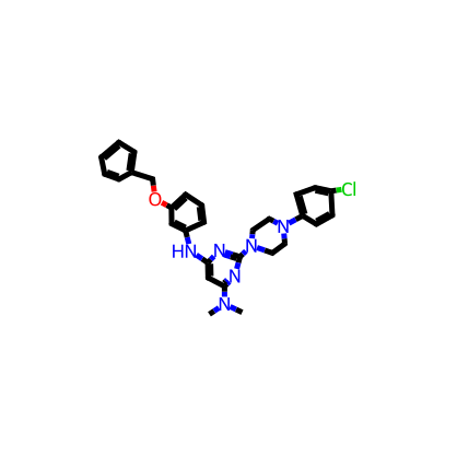 CN(C)c1cc(Nc2cccc(OCc3ccccc3)c2)nc(N2CCN(c3ccc(Cl)cc3)CC2)n1